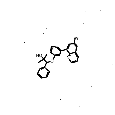 CC(C)c1cc(-c2cccc(OC(c3ccccc3)C(C)(C)O)c2)c2ncccc2c1